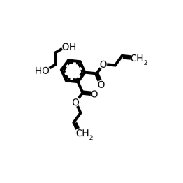 C=CCOC(=O)c1ccccc1C(=O)OCC=C.OCCO